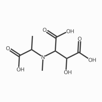 CC(C(=O)O)N(C)C(C(=O)O)C(O)C(=O)O